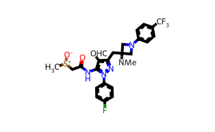 CNC1(Cc2nn(-c3ccc(F)cc3)c(NC(=O)C[S+](C)[O-])c2C=O)CN(c2ccc(C(F)(F)F)cc2)C1